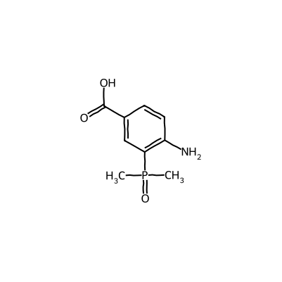 CP(C)(=O)c1cc(C(=O)O)ccc1N